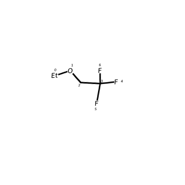 [CH2]COCC(F)(F)F